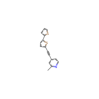 Cc1cc(C#Cc2ccc(-c3cccs3)s2)ccn1